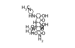 CN1CCC(NC2=C3C[C@H]4C[C@H]5[C@H](N(C)C)C(O)=C(C(N)=O)C(=O)[C@@]5(OI)C(O)=C4C(=O)C3=C(O)CC2)CC1